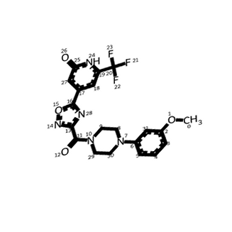 COc1cccc(N2CCN(C(=O)c3noc(-c4cc(C(F)(F)F)[nH]c(=O)c4)n3)CC2)c1